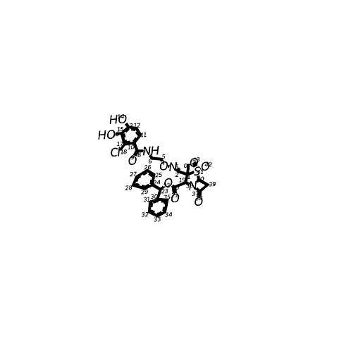 CC1(/C=N/OCCNC(=O)c2ccc(O)c(O)c2Cl)C(C(=O)OC(c2ccccc2)c2ccccc2)N2C(=O)CC2S1(=O)=O